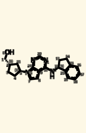 OC[C@H]1CC[C@H](n2ccc3c(N[C@H]4CCc5ccccc54)ncnc32)C1